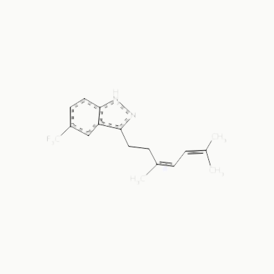 CC(C)=C/C=C(/C)CCc1n[nH]c2ccc(C(F)(F)F)cc12